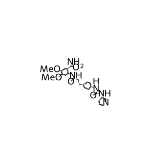 COc1cc(NC(=O)CCc2ccc(NC(=O)Nc3cccnc3)cc2)c(C(N)=O)cc1OC